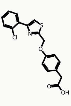 O=C(O)Cc1ccc(OCc2nc(-c3ccccc3Cl)cs2)cc1